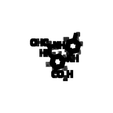 Cc1ccc(Nc2cc(NC(N)C=O)cc(C(=O)O)c2)cc1